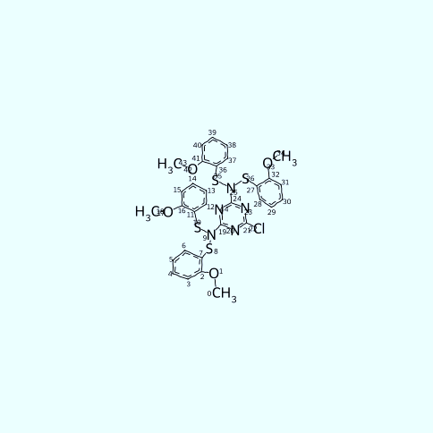 COc1ccccc1SN(Sc1ccccc1OC)c1nc(Cl)nc(N(Sc2ccccc2OC)Sc2ccccc2OC)n1